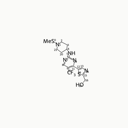 CSN1CCC(Nc2ncc(C(F)(F)F)c(-c3cnc(CO)s3)n2)CC1